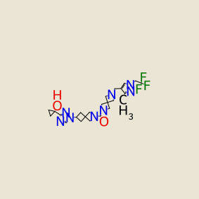 Cc1nn(CC(F)(F)F)cc1CN1CC2(C1)CN(C(=O)N1CC3(CC(n4cnc(C5(O)CC5)n4)C3)C1)C2